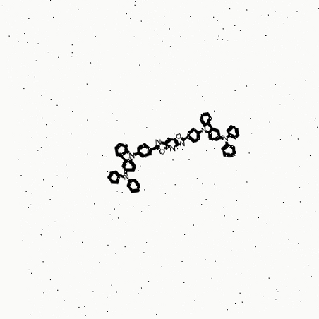 c1ccc(N(c2ccccc2)c2ccc3c(c2)c2ccccc2n3-c2ccc(-c3nc4nc5oc(-c6ccc(-n7c8ccccc8c8cc(N(c9ccccc9)c9ccccc9)ccc87)cc6)nc5cc4o3)cc2)cc1